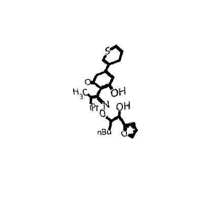 CCCCC(ON=C(C1=C(O)CC(C2CCCSC2)CC1=O)C(C)C(C)C)C(O)c1ccco1